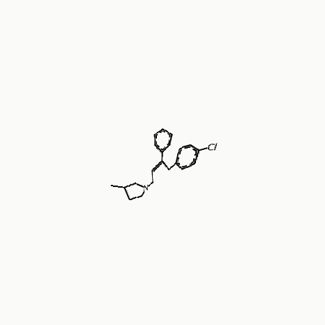 CC1CCN(C/C=C(\Cc2ccc(Cl)cc2)c2ccccc2)C1